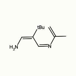 C=C(C)/N=C\C(=C/N)C(C)(C)C